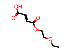 CCOCCOC(=O)/C=C/C(=O)O